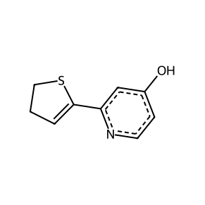 Oc1ccnc(C2=CCCS2)c1